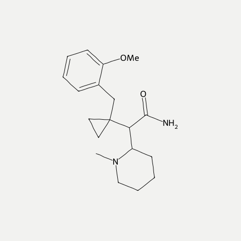 COc1ccccc1CC1(C(C(N)=O)C2CCCCN2C)CC1